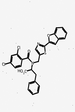 O=C(O)C(Cc1ccccc1)N(Cc1cnc(-c2cc3ccccc3o2)s1)C(=O)c1ccc(Cl)cc1Cl